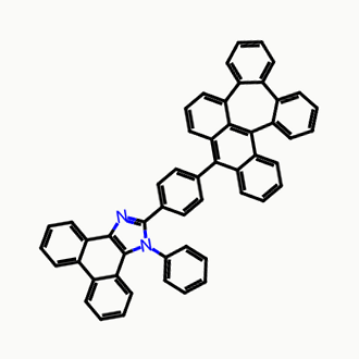 c1ccc(-n2c(-c3ccc(-c4c5ccccc5c5c6c(cccc46)-c4ccccc4-c4ccccc4-5)cc3)nc3c4ccccc4c4ccccc4c32)cc1